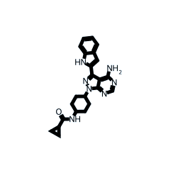 Nc1ncnc2c1c(-c1cc3ccccc3[nH]1)nn2C1CCC(NC(=O)C2CC2)CC1